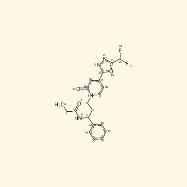 CCC(=O)NC(CCn1ccc(-c2nnc(C(F)F)o2)cc1=O)c1ccccc1